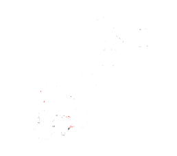 c1ccc(-n2c3ccccc3c3cc(-c4ccc(N(c5ccccc5-c5cccc6cccc(C7CCCCC7)c56)c5cccc6oc7ccccc7c56)cc4)ccc32)cc1